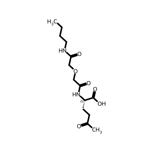 CCCCNC(=O)COCC(=O)N[C@@H](CCC(C)=O)C(=O)O